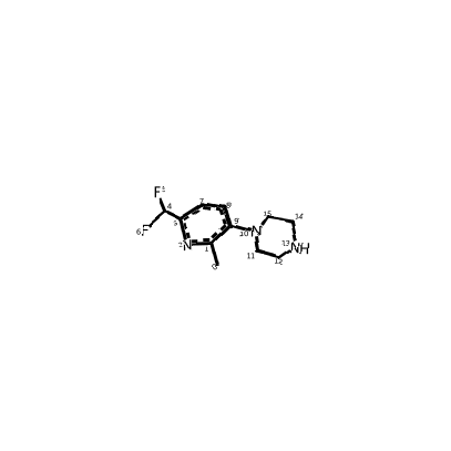 Cc1nc(C(F)F)ccc1N1CCNCC1